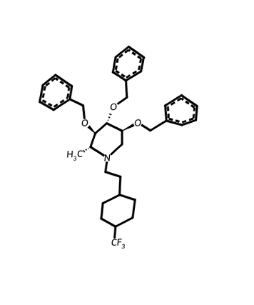 C[C@@H]1[C@@H](OCc2ccccc2)[C@H](OCc2ccccc2)[C@@H](OCc2ccccc2)CN1CCC1CCC(C(F)(F)F)CC1